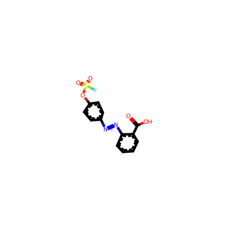 O=C(O)c1ccccc1/N=N/c1ccc(OS(=O)(=O)F)cc1